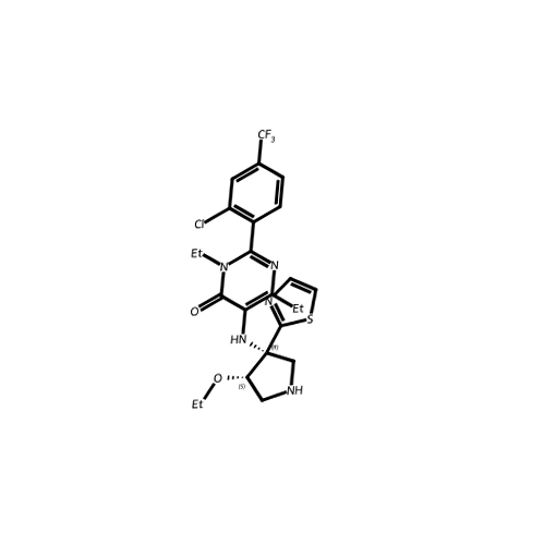 CCO[C@H]1CNC[C@]1(Nc1c(CC)nc(-c2ccc(C(F)(F)F)cc2Cl)n(CC)c1=O)c1nccs1